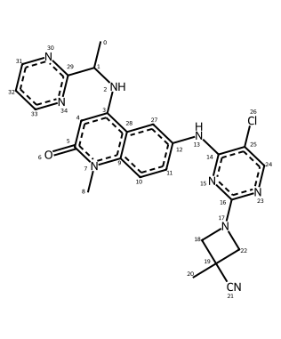 CC(Nc1cc(=O)n(C)c2ccc(Nc3nc(N4CC(C)(C#N)C4)ncc3Cl)cc12)c1ncccn1